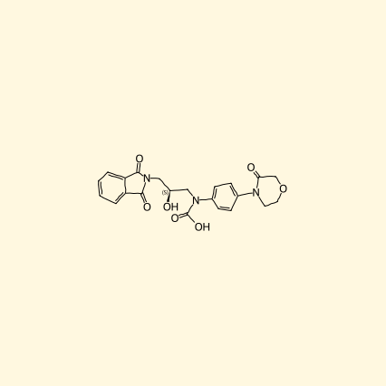 O=C1c2ccccc2C(=O)N1C[C@H](O)CN(C(=O)O)c1ccc(N2CCOCC2=O)cc1